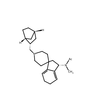 CC(=O)N(C)[C@H]1CC2(CCN(C[C@H]3C[C@H]4CC[C@@H]3C4)CC2)C2=CCCC=C21